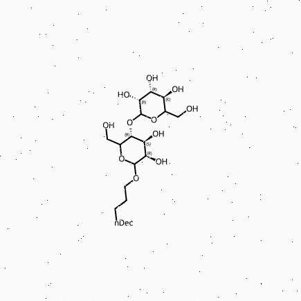 CCCCCCCCCCCCCOC1OC(CO)[C@H](OC2OC(CO)[C@H](O)[C@@H](O)[C@H]2O)[C@@H](O)[C@H]1O